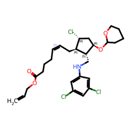 C=CCOC(=O)CCC/C=C\C[C@@H]1[C@@H](CNc2cc(Cl)cc(Cl)c2)[C@H](OC2CCCCO2)C[C@H]1Cl